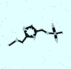 COCc1nc(COS(C)(=O)=O)co1